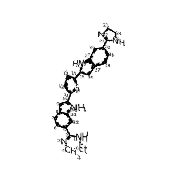 CCN/C(=N\C)c1ccc2cc(-c3ccc(-c4cc5ccc(C6=NCCN6)cc5[nH]4)s3)[nH]c2c1